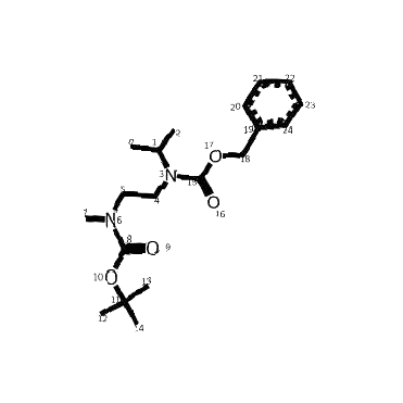 CC(C)N(CCN(C)C(=O)OC(C)(C)C)C(=O)OCc1ccccc1